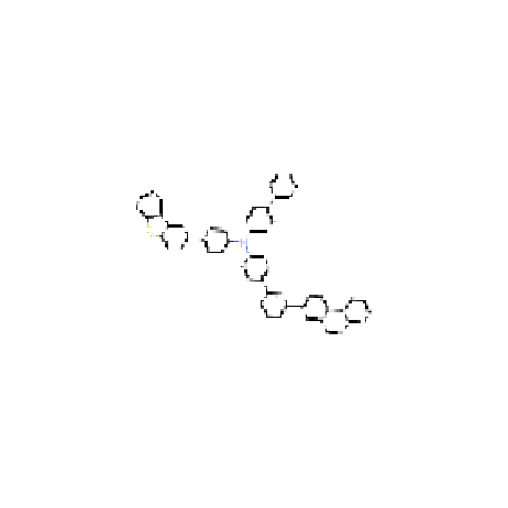 c1ccc(-c2ccc(N(c3ccc(-c4cccc(-c5ccc6c(ccc7ccccc76)c5)c4)cc3)c3ccc(-c4ccc5sc6ccccc6c5c4)cc3)cc2)cc1